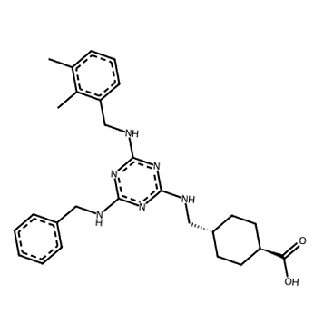 Cc1cccc(CNc2nc(NCc3ccccc3)nc(NC[C@H]3CC[C@H](C(=O)O)CC3)n2)c1C